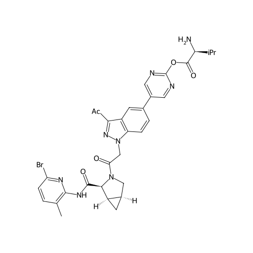 CC(=O)c1nn(CC(=O)N2C[C@H]3C[C@H]3[C@H]2C(=O)Nc2nc(Br)ccc2C)c2ccc(-c3cnc(OC(=O)[C@@H](N)C(C)C)nc3)cc12